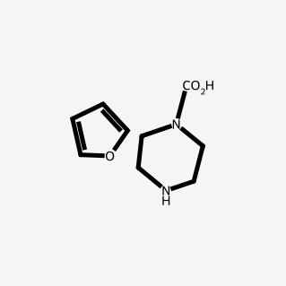 O=C(O)N1CCNCC1.c1ccoc1